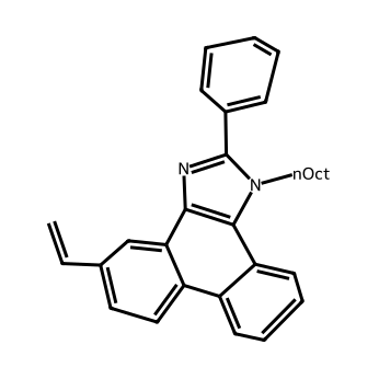 C=Cc1ccc2c3ccccc3c3c(nc(-c4ccccc4)n3CCCCCCCC)c2c1